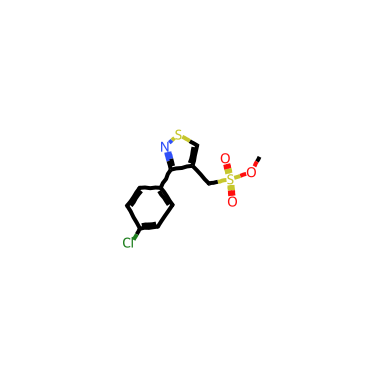 COS(=O)(=O)Cc1csnc1-c1ccc(Cl)cc1